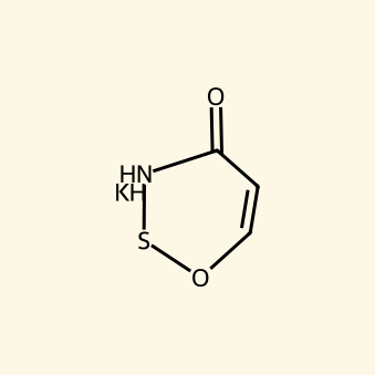 O=C1C=COSN1.[KH]